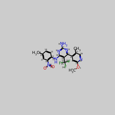 COc1cc(-c2nc(N)nc(Nc3ccc(C)cc3[N+](=O)[O-])c2C(F)(F)F)c(C)cn1